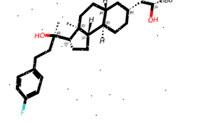 CCCC[C@H](O)C[C@@H]1CC[C@@H]2[C@H](CC[C@@]3(C)[C@H]2CC[C@@H]3[C@](C)(O)CCc2ccc(F)cc2)C1